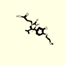 COCCOc1ccc([C@]2(C)NC(=O)N(CCC(=O)O)C=C2C(C)C)cc1Cl